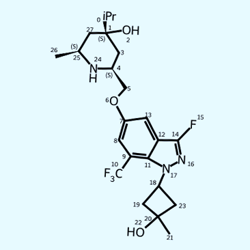 CC(C)[C@@]1(O)C[C@@H](COc2cc(C(F)(F)F)c3c(c2)c(F)nn3C2CC(C)(O)C2)N[C@@H](C)C1